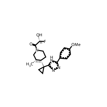 COc1ccc(-c2nnc(C3([C@H]4CCN(C(=O)[C@H](O)F)C[C@H]4C)CC3)[nH]2)cc1